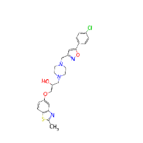 Cc1nc2cc(OCC(O)CN3CCN(Cc4cc(-c5ccc(Cl)cc5)on4)CC3)ccc2s1